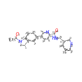 CCC(=O)N1CCc2cc(-c3ccc(C(=O)NCc4cccnc4)nc3)ccc21